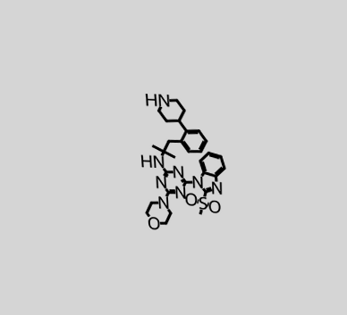 CC(C)(Cc1ccccc1C1CCNCC1)Nc1nc(N2CCOCC2)nc(-n2c(S(C)(=O)=O)nc3ccccc32)n1